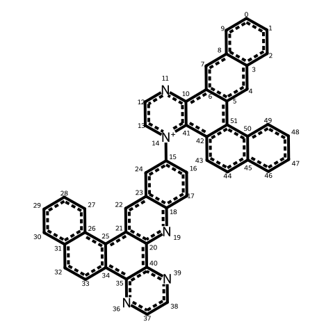 c1ccc2cc3c(cc2c1)c1ncc[n+](-c2ccc4nc5c(cc4c2)c2c4ccccc4ccc2c2nccnc25)c1c1ccc2ccccc2c31